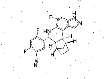 N#Cc1cc([C@@H]2Nc3c(F)cc4[nH]ncc4c3[C@H]3[C@@H]4CC[C@@H](C4)[C@H]32)c(F)cc1F